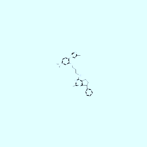 O=[N+]([O-])c1ccc(-n2cnc(Cl)c2)c(OCCCNc2nc(Cl)nc3c2CCC3c2ccccc2)c1